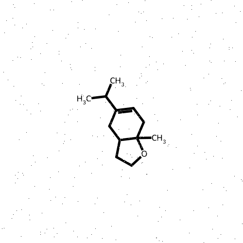 CC(C)C1=CCC2(C)OCCC2C1